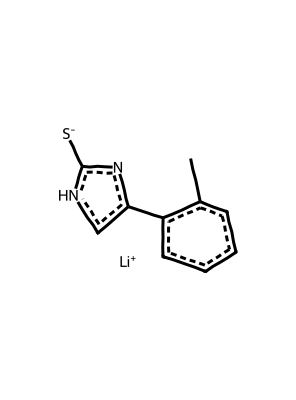 Cc1ccccc1-c1c[nH]c([S-])n1.[Li+]